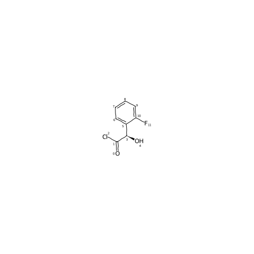 O=C(Cl)[C@H](O)c1ccccc1F